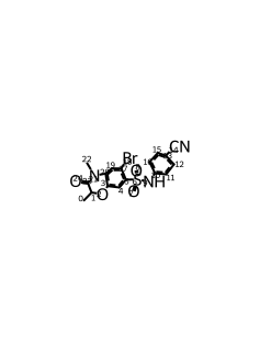 CC1Oc2cc(S(=O)(=O)Nc3ccc(C#N)cc3)c(Br)cc2N(C)C1=O